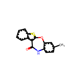 Cc1ccc2c(c1)Oc1sc3ccccc3c1C(=O)N2